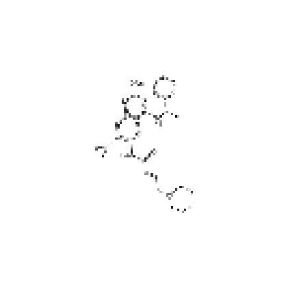 COc1nc(N[C@H](C)c2ccccc2)c2cc([AsH]C(=O)C=CCN3CCOCC3)c(C3CC3)cc2n1